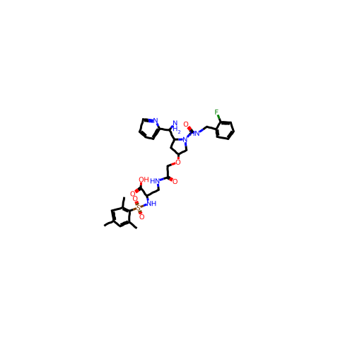 Cc1cc(C)c(S(=O)(=O)NC(CNC(=O)COC2CC(C(N)c3ccccn3)N(C(=O)NCc3ccccc3F)C2)C(=O)O)c(C)c1